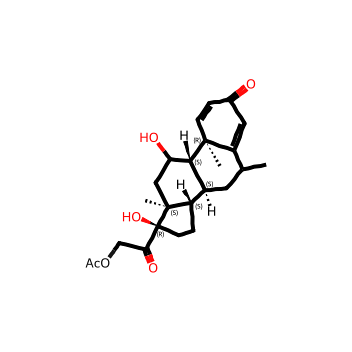 CC(=O)OCC(=O)[C@@]1(O)CC[C@H]2[C@@H]3CC(C)C4=CC(=O)C=C[C@]4(C)[C@H]3C(O)C[C@@]21C